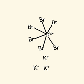 [Br][Ir-3]([Br])([Br])([Br])([Br])[Br].[K+].[K+].[K+]